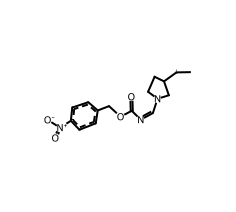 C[CH]C1CCN(/C=N\C(=O)OCc2ccc([N+](=O)[O-])cc2)C1